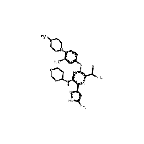 Cc1cc(-c2nc(C(N)=O)c(Nc3ccc(N4CCN(C)CC4)c(C)c3)nc2NC2CCOCC2)n[nH]1